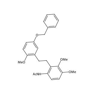 COc1ccc(OCc2ccccc2)cc1CCc1c(NC(C)=O)ccc(OC)c1OC